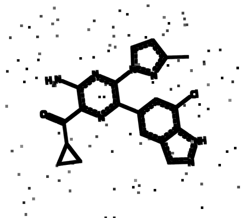 Cc1ccn(-c2nc(N)c(C(=O)C3CC3)nc2-c2cc(Cl)c3[nH]ncc3c2)n1